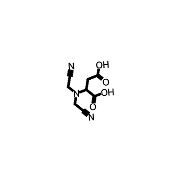 N#CCN(CC#N)C(CC(=O)O)C(=O)O